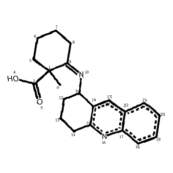 CC1(C(=O)O)CCCCC1=NC1CCCc2nc3ccccc3cc21